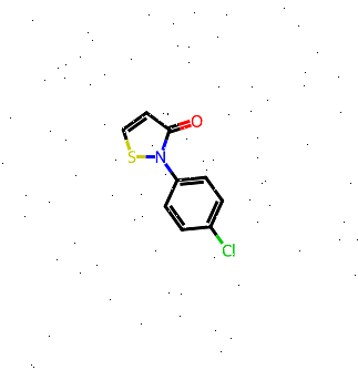 O=c1ccsn1-c1ccc(Cl)cc1